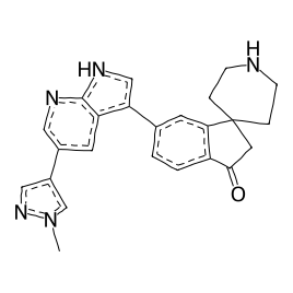 Cn1cc(-c2cnc3[nH]cc(-c4ccc5c(c4)C4(CCNCC4)CC5=O)c3c2)cn1